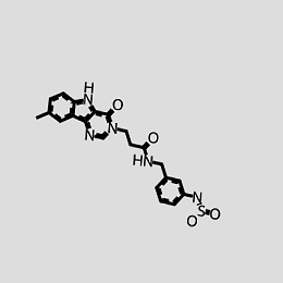 Cc1ccc2[nH]c3c(=O)n(CCC(=O)NCc4cccc(N=S(=O)=O)c4)cnc3c2c1